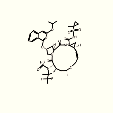 CC(C)Oc1cc2ccccc2c(O[C@@H]2C[C@H]3C(=O)N[C@]4(C(=O)NS(=O)(=O)C5(C)CC5)C[C@H]4/C=C\CC[C@H](C)C[C@@H](C)[C@H](N(C(=O)O)C(C)(C)C(C)(F)F)C(=O)N3C2)n1